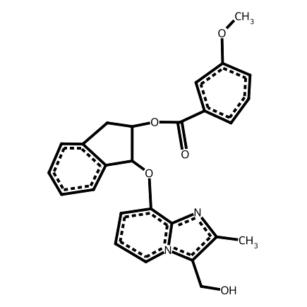 COc1cccc(C(=O)OC2Cc3ccccc3C2Oc2cccn3c(CO)c(C)nc23)c1